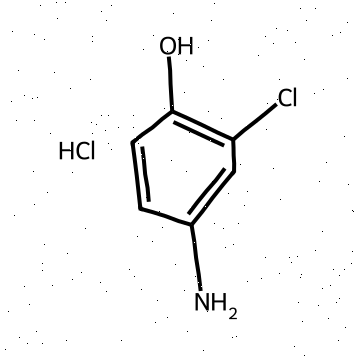 Cl.Nc1ccc(O)c(Cl)c1